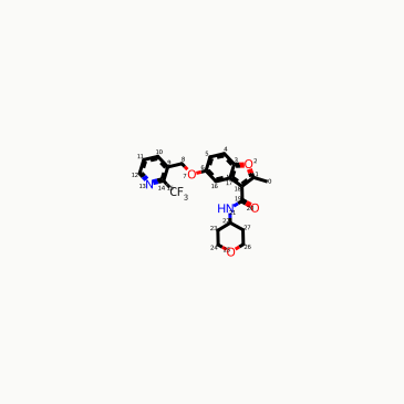 Cc1oc2ccc(OCc3cccnc3C(F)(F)F)cc2c1C(=O)NC1CCOCC1